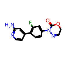 Nc1cc(-c2ccc(N3N=CCOC3=O)cc2F)ccn1